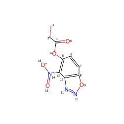 O=C(CI)Oc1ccc2onnc2c1[N+](=O)[O-]